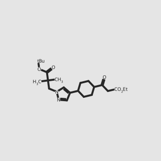 CCOC(=O)CC(=O)C1CCC(c2cnn(CC(C)(C)C(=O)OC(C)(C)C)c2)CC1